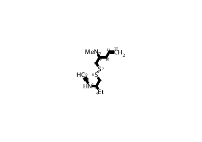 C#CNC(CC)CSSCC(CC=C)NC